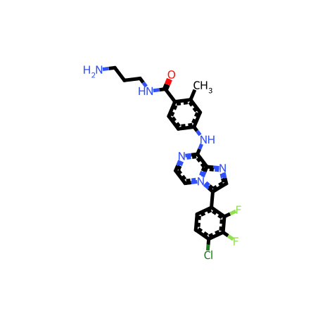 Cc1cc(Nc2nccn3c(-c4ccc(Cl)c(F)c4F)cnc23)ccc1C(=O)NCCCN